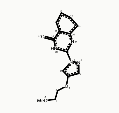 COCCOc1cnn(-c2nc3ccccc3c(=O)[nH]2)c1